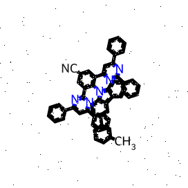 Cc1cccc(-c2ccc3c(c2)c2ccccc2n3-c2c(-c3cc(-c4ccccc4)nc(-c4ccccc4)n3)cc(C#N)cc2-c2nc(-c3ccccc3)cc(-c3ccccc3)n2)c1